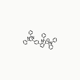 c1ccc(-c2cc(-c3ccc(-c4cccc5c4nc(-c4ccccc4)c4oc6c(c7ccccc7n6-c6ccccc6)c45)cc3)nc(-c3ccccc3)n2)cc1